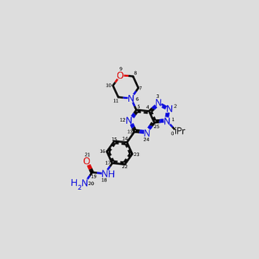 CC(C)n1nnc2c(N3CCOCC3)nc(-c3ccc(NC(N)=O)cc3)nc21